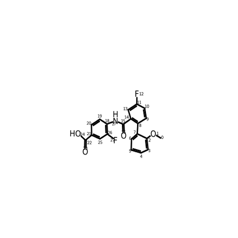 COc1ccccc1-c1ccc(F)cc1C(=O)Nc1ccc(C(=O)O)cc1F